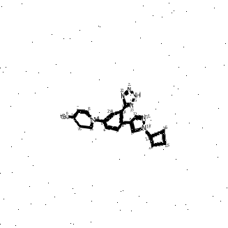 CC(C)(C)C1CCN(c2ccc(-c3cnn(C4CCC4)c3)c(-c3nn[nH]n3)c2)CC1